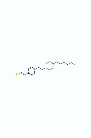 CCCCCCC1CCC(CCc2ccc(C=CF)cc2)CC1